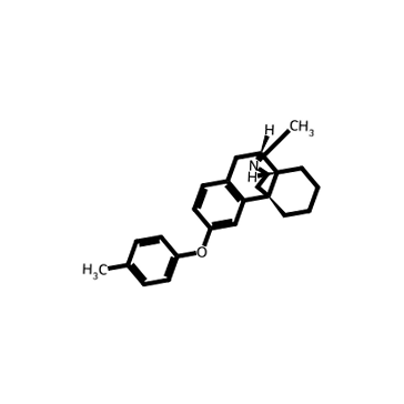 Cc1ccc(Oc2ccc3c(c2)[C@@]24CCCC[C@H]2[C@@H](C3)N(C)CC4)cc1